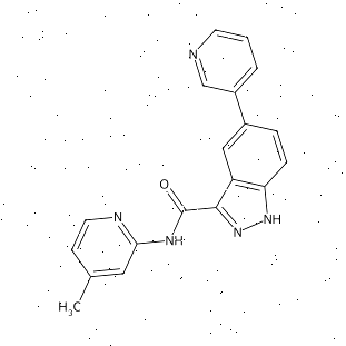 Cc1ccnc(NC(=O)c2n[nH]c3ccc(-c4cccnc4)cc23)c1